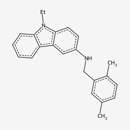 CCn1c2ccccc2c2cc(NCc3cc(C)ccc3C)ccc21